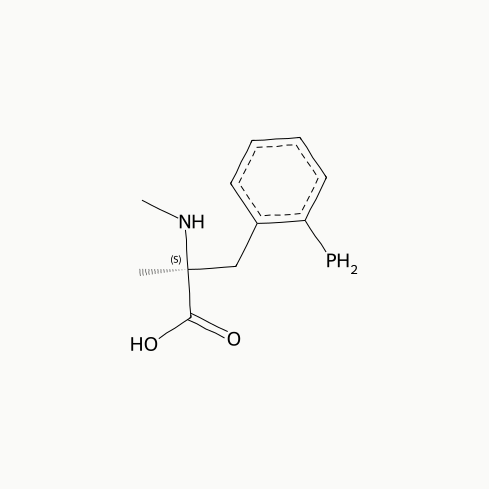 CN[C@@](C)(Cc1ccccc1P)C(=O)O